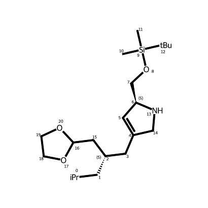 CC(C)C[C@@H](CC1=C[C@@H](CO[Si](C)(C)C(C)(C)C)NC1)CC1OCCO1